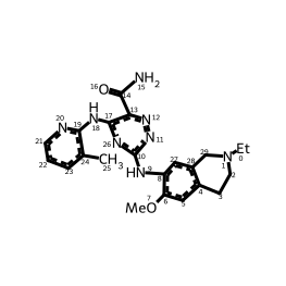 CCN1CCc2cc(OC)c(Nc3nnc(C(N)=O)c(Nc4ncccc4C)n3)cc2C1